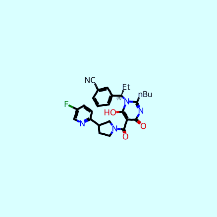 CCCCc1nc(=O)c(C(=O)N2CCC(c3ccc(F)cn3)C2)c(O)n1[C@H](CC)c1cccc(C#N)c1